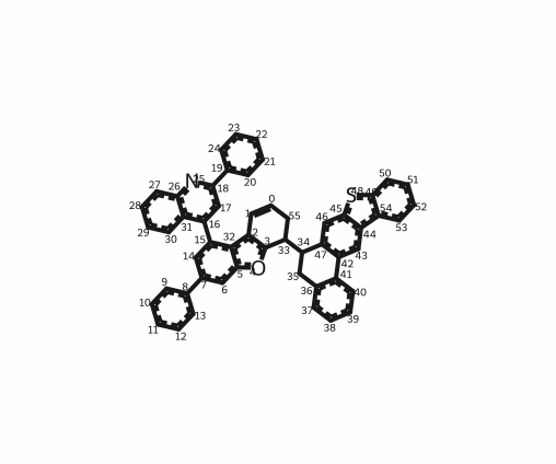 C1=Cc2c(oc3cc(-c4ccccc4)cc(-c4cc(-c5ccccc5)nc5ccccc45)c23)C(C2Cc3ccccc3-c3cc4c(cc32)sc2ccccc24)C1